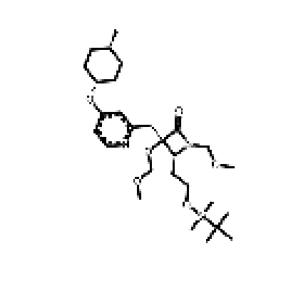 COCO[C@@]1(Cc2cc(O[C@H]3CC[C@H](C)CC3)ccn2)C(=O)N(COC)[C@H]1CCO[Si](C)(C)C(C)(C)C